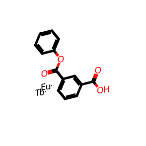 O=C(O)c1cccc(C(=O)Oc2ccccc2)c1.[Eu].[Tb]